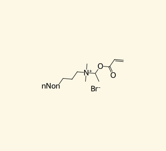 C=CC(=O)OC(C)[N+](C)(C)CCCCCCCCCCCC.[Br-]